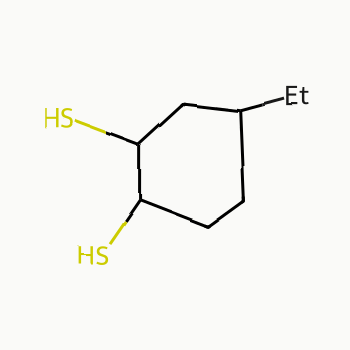 [CH2]CC1CCC(S)C(S)C1